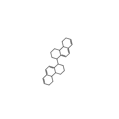 C1=CC2=CC=C3C(CCCC3C3CCCC4C3=CC=C3C=CCCC34)C2CC1